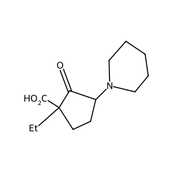 CCC1(C(=O)O)CCC(N2CCCCC2)C1=O